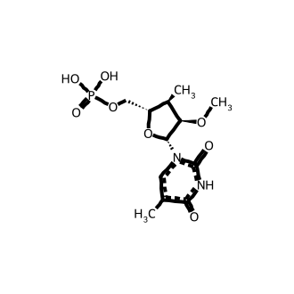 CO[C@@H]1[C@H](C)[C@@H](COP(=O)(O)O)O[C@H]1n1cc(C)c(=O)[nH]c1=O